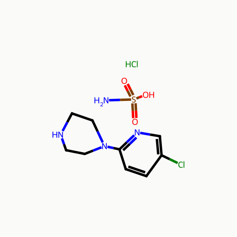 Cl.Clc1ccc(N2CCNCC2)nc1.NS(=O)(=O)O